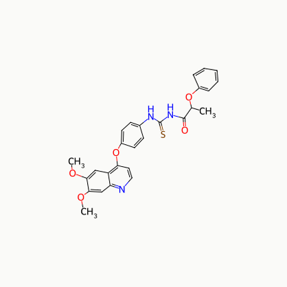 COc1cc2nccc(Oc3ccc(NC(=S)NC(=O)C(C)Oc4ccccc4)cc3)c2cc1OC